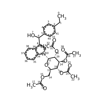 CCc1ccc(C(O)c2cn([C@H]3O[C@H](COC(C)=O)[C@@H](OC(C)=O)[C@H](OC(C)=O)[C@H]3OC(C)=O)c3ccccc23)cc1